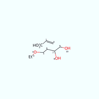 C=CC(=O)O.CCOCCC(O)CO